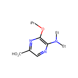 CCN(CC)c1ncc(C(=O)O)nc1OC(C)C